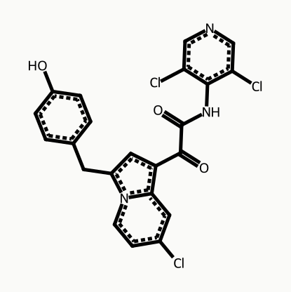 O=C(Nc1c(Cl)cncc1Cl)C(=O)c1cc(Cc2ccc(O)cc2)n2ccc(Cl)cc12